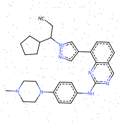 CN1CCN(c2ccc(Nc3ncc4cccc(-c5cnn(C(CC#N)C6CCCC6)c5)c4n3)cc2)CC1